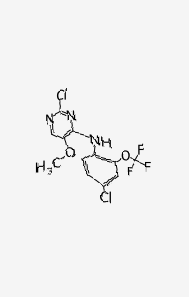 COc1cnc(Cl)nc1Nc1ccc(Cl)cc1OC(F)(F)F